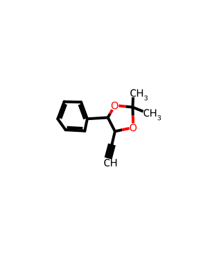 C#CC1OC(C)(C)OC1c1ccccc1